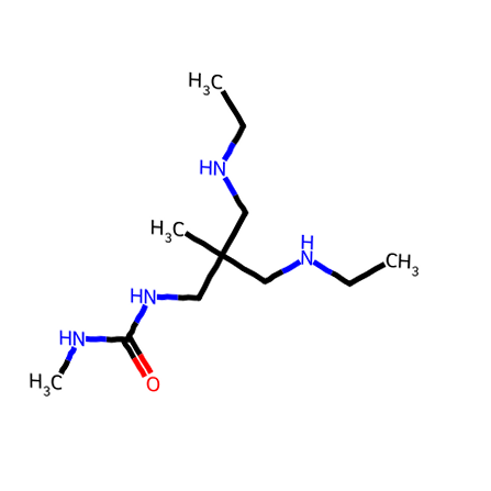 CCNCC(C)(CNCC)CNC(=O)NC